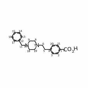 O=C(O)c1ccc(CCN2CCN(Cc3ccccc3)CC2)cc1